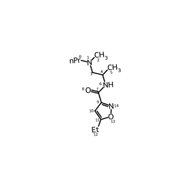 CCCN(C)CC(C)NC(=O)c1cc(CC)on1